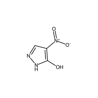 O=[N+]([O-])c1cn[nH]c1O